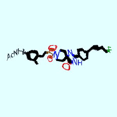 CC(=O)Nc1ccc(CCS(=O)(=O)N2CCC3(CC2)N=C(C2CCC(CCCCF)CC2)NC3=O)c(C)c1